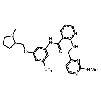 CNc1nccc(CNc2ncccc2C(=O)Nc2cc(OCC3CCCN3C)cc(C(F)(F)F)c2)n1